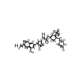 CCc1cc(-c2cc(NC(=O)Cc3ccc(CN4CCN(C)CC4)c(C(F)(F)F)c3)nn2C)cc2cnc(N)nc12